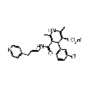 CC1=C(C(=O)O)C(c2cccc(Cl)c2)C(C(=O)NC=CCc2ccncc2)=C(C)N1